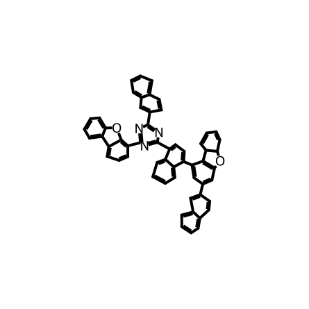 C1=CC2Oc3cc(-c4ccc5ccccc5c4)cc(-c4ccc(-c5nc(-c6ccc7ccccc7c6)nc(-c6cccc7c6oc6ccccc67)n5)c5ccccc45)c3C2C=C1